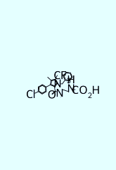 Cc1c(-c2ccc(Cl)cc2)c(C(=O)N(C)CCNC(=O)O)n(Cc2ccccc2)c1C(F)(F)F